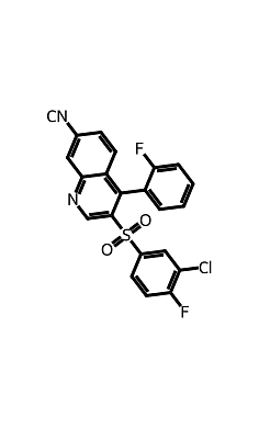 [C-]#[N+]c1ccc2c(-c3ccccc3F)c(S(=O)(=O)c3ccc(F)c(Cl)c3)cnc2c1